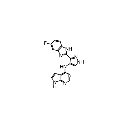 Fc1ccc2[nH]c(-c3n[nH]cc3Nc3ncnc4[nH]ccc34)nc2c1